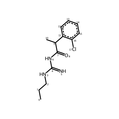 CCCNC(=N)NC(=O)C(C)c1ccccc1Cl